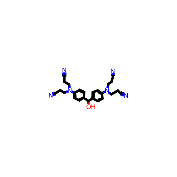 N#CCCN(CCC#N)c1ccc(C(O)c2ccc(N(CCC#N)CCC#N)cc2)cc1